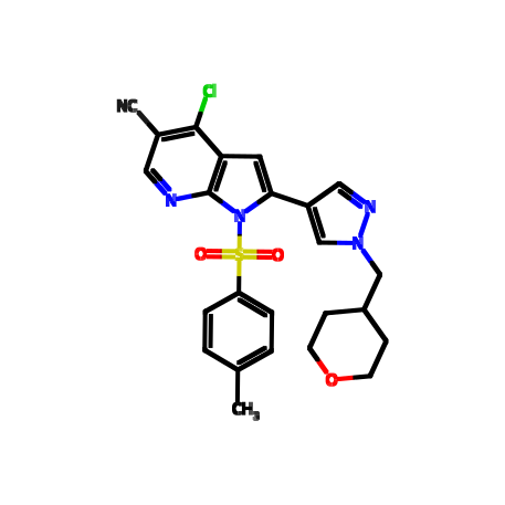 Cc1ccc(S(=O)(=O)n2c(-c3cnn(CC4CCOCC4)c3)cc3c(Cl)c(C#N)cnc32)cc1